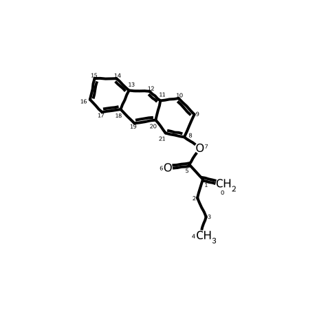 C=C(CCC)C(=O)Oc1ccc2cc3ccccc3cc2c1